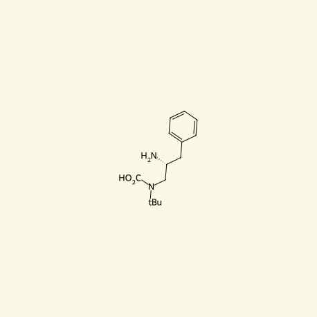 CC(C)(C)N(C[C@H](N)Cc1ccccc1)C(=O)O